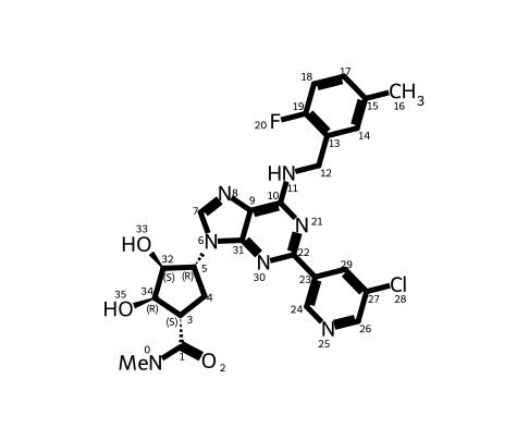 CNC(=O)[C@H]1C[C@@H](n2cnc3c(NCc4cc(C)ccc4F)nc(-c4cncc(Cl)c4)nc32)[C@H](O)[C@@H]1O